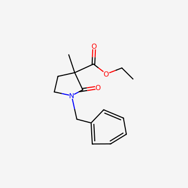 CCOC(=O)C1(C)CCN(Cc2ccccc2)C1=O